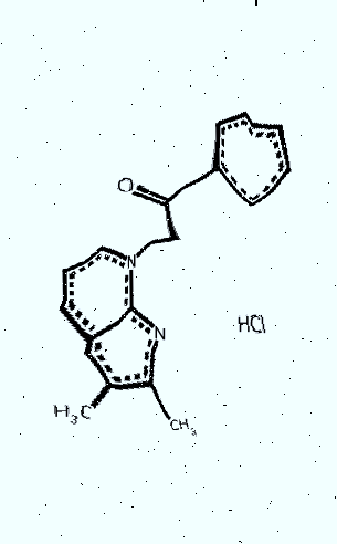 Cc1nc2n(CC(=O)c3ccccc3)cccc-2c1C.Cl